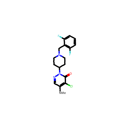 CNc1cnn(C2CCN(Cc3c(F)cccc3F)CC2)c(=O)c1Cl